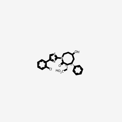 O=C(O)C[C@@H]1C(=O)N(c2nc(-c3ccccc3Cl)cs2)CCC(O)C[C@@H]1c1ccccc1